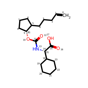 C=CCCCC1CCC[C@H]1OC(=O)N[C@H](C(=O)O)C1CCCCC1